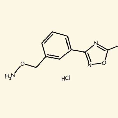 Cc1nc(-c2cccc(CON)c2)no1.Cl